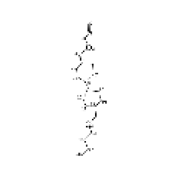 C=CCOC[C@H]1CC[C@H]([C@H]2CC[C@H](COCCCC)CC2)CC1